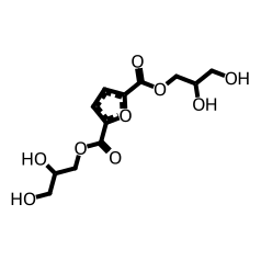 O=C(OCC(O)CO)c1ccc(C(=O)OCC(O)CO)o1